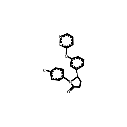 O=C1CC[C@H](c2cccc(Oc3cccnn3)c2)N1c1ccc(Cl)cc1